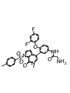 Cc1ccc(S(=O)(=O)n2ccc3c(-c4cc(NC(=O)CN)ccc4Oc4ccc(F)cc4F)cn(C)c(=O)c32)cc1